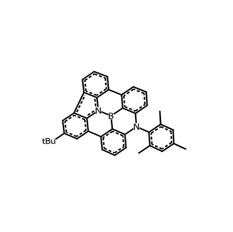 Cc1cc(C)c(N2c3cccc4c3B3c5c(cccc52)-c2cc(C(C)(C)C)cc5c6cccc-4c6n3c25)c(C)c1